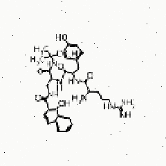 CC(C)(NC(=O)C(CNC(=O)c1ccc2ccccc2c1O)NC(=O)C(Cc1ccc(O)cc1)NC(=O)C(N)CCCNC(=N)N)C(=O)O